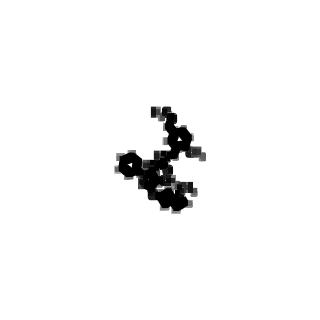 COCc1ccc(C)c(CNC(=O)Nc2c(C)c(OC3CC4(CCN4C)C3)nn2-c2ccccc2)c1